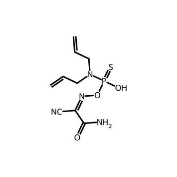 C=CCN(CC=C)P(O)(=S)ON=C(C#N)C(N)=O